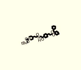 CC(C)(C)OC(=O)N1CCC(CCC(=O)NCC(=O)c2ccc(CCC(=O)OC(c3ccccc3)c3ccccc3)cc2)CC1